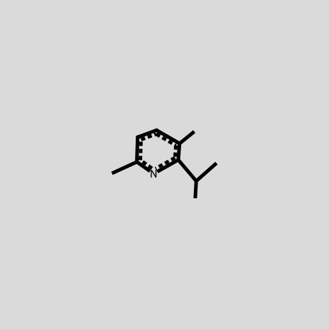 Cc1ccc(C)c(C(C)C)n1